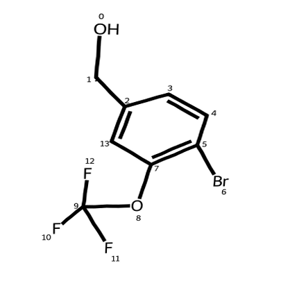 O[CH]c1ccc(Br)c(OC(F)(F)F)c1